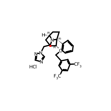 Cl.FC(F)(F)c1cc(CO[C@@H]2CC[C@H]3CC[C@]2(c2ccccc2)N3CCn2cncn2)cc(C(F)(F)F)c1